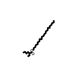 CCCCCCCCCCCCCCCCCCCCCCOC(=O)C(CC)CCCC